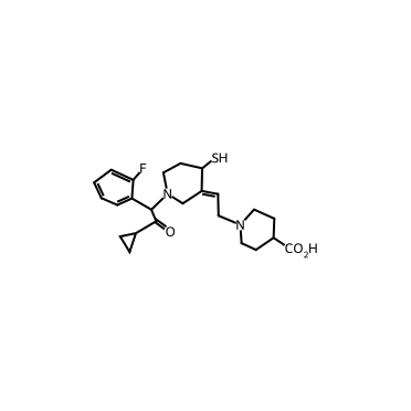 O=C(O)C1CCN(C/C=C2\CN(C(C(=O)C3CC3)c3ccccc3F)CCC2S)CC1